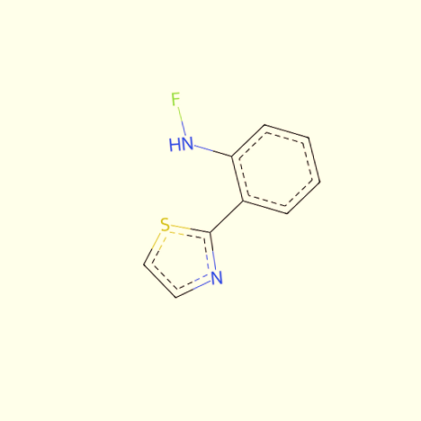 FNc1ccccc1-c1nccs1